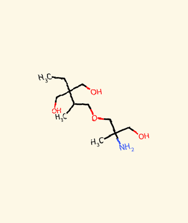 CCC(CO)(CO)C(C)COCC(C)(N)CO